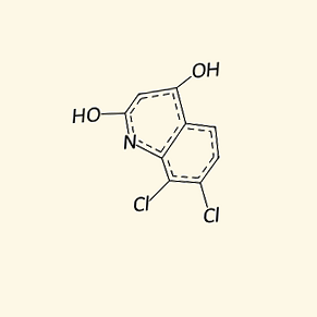 Oc1cc(O)c2ccc(Cl)c(Cl)c2n1